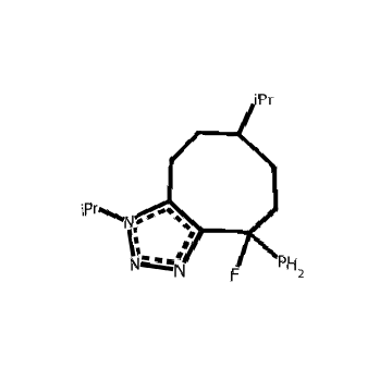 CC(C)C1CCc2c(nnn2C(C)C)C(F)(P)CC1